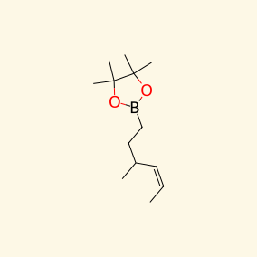 C/C=C\C(C)CCB1OC(C)(C)C(C)(C)O1